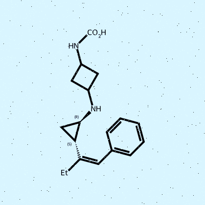 CCC(=Cc1ccccc1)[C@@H]1C[C@H]1NC1CC(NC(=O)O)C1